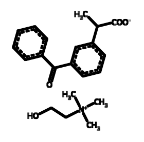 CC(C(=O)[O-])c1cccc(C(=O)c2ccccc2)c1.C[N+](C)(C)CCO